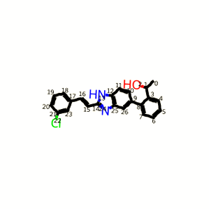 CC(O)c1ccccc1-c1ccc2[nH]c(/C=C/c3cccc(Cl)c3)nc2c1